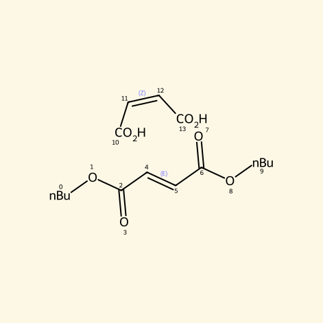 CCCCOC(=O)/C=C/C(=O)OCCCC.O=C(O)/C=C\C(=O)O